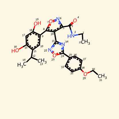 CCNC(=O)c1noc(-c2cc(C(C)C)c(O)cc2O)c1-c1noc(-c2ccc(OCC)cc2)n1